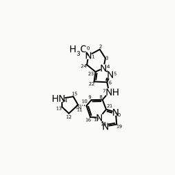 CN1CCn2nc(Nc3cc([C@@H]4CCNC4)cn4ncnc34)cc2C1